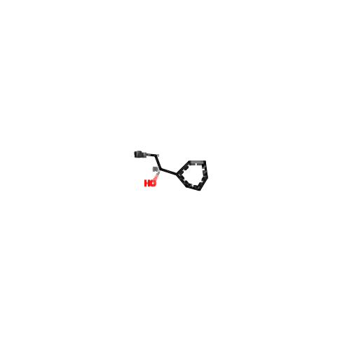 CC(C)(C)[CH][C@@H](O)c1ccccc1